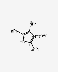 CCCc1[nH]c(CCC)[n+](CCC)c1CCC